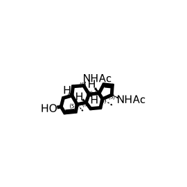 CC(=O)N[C@H]1C[C@@H]2CC(O)C=C[C@]2(C)[C@H]2CC[C@]3(C)[C@@H](NC(C)=O)C=C[C@H]3[C@H]12